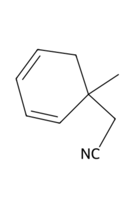 CC1(CC#N)C=CC=CC1